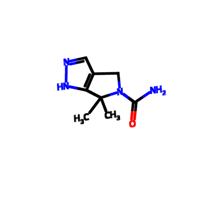 CC1(C)c2[nH]ncc2CN1C(N)=O